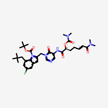 CN(C)C(=O)/C=C/CC[C@H](OC(=O)N(C)C)C(=O)Nc1cncn(Cc2cc3cc(F)cc(CC(C)(C)C)c3n2C(=O)OC(C)(C)C)c1=O